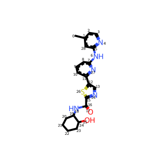 Cc1ccnc(Nc2cccc(-c3cnc(C(=O)NC4CCCCC4O)s3)n2)c1